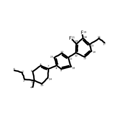 CCCC1(C)CC=C(c2ccc(-c3ccc(CC)c(F)c3F)cc2)CC1